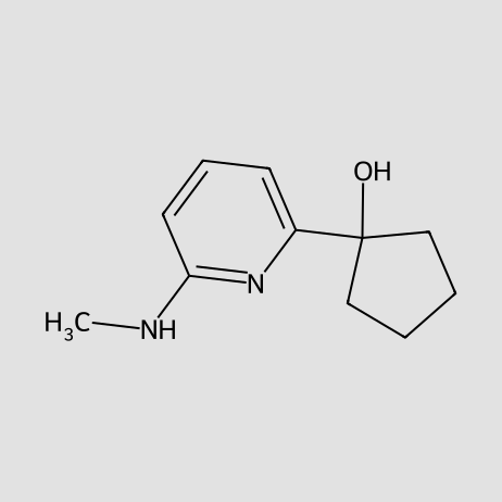 CNc1cccc(C2(O)CCCC2)n1